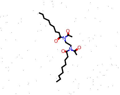 CCCCCCCCC(=O)N(CCN(C(C)=O)C(=O)CCCCCCCC)C(C)=O